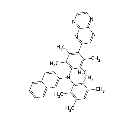 Cc1cc(C)c(C)c(N(c2ccc3ccccc3c2)c2c(C)c(C)c(-c3cnc4nccnc4n3)c(C)c2C)c1C